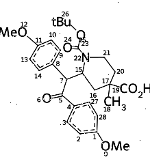 COc1ccc(C(=O)C(c2ccc(OC)cc2)C2CC(C)(C(=O)O)CCN2C(=O)OC(C)(C)C)cc1